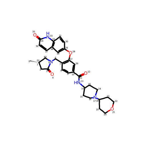 C[C@H]1CC(=O)N(Cc2ccc(C(=O)NC3CCN(C4CCOCC4)CC3)cc2Oc2ccc3[nH]c(=O)ccc3c2)C1